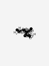 CCCC(NC(=O)[C@@H]1C[C@@H](NC(=O)Nc2ccccc2)CN1C(=O)[C@@H](NC(=O)c1cc(Cl)c(Cl)cc1C(=O)O)C1CCCCC1)C(=O)C(=O)NCC(=O)N[C@H](C(N)=O)c1ccccc1